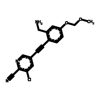 COCOc1ccc(C#Cc2cnc(C#N)c(Cl)c2)c(CN)c1